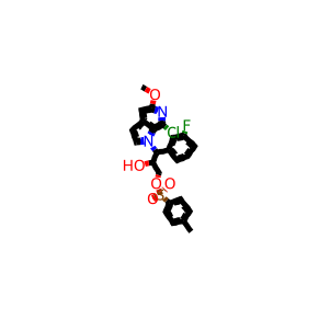 COc1cc2ccn(C(c3cccc(F)c3)C(O)COS(=O)(=O)c3ccc(C)cc3)c2c(Cl)n1